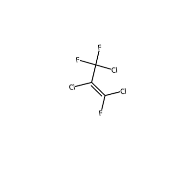 FC(Cl)=C(Cl)C(F)(F)Cl